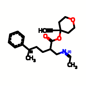 C#CC1(OC(=O)C(CC[C@H](C)c2ccccc2)C/N=C\C)CCOCC1